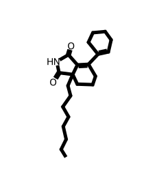 CCCCCCCCC12CCCC(C3=CCCCC3)=C1C(=O)NC2=O